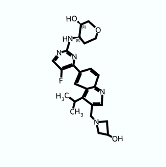 CC(C)c1c(CN2CC(O)C2)cnc2ccc(-c3nc(N[C@@H]4CCOC[C@@H]4O)ncc3F)cc12